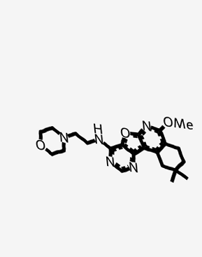 COc1nc2oc3c(NCCN4CCOCC4)ncnc3c2c2c1CCC(C)(C)C2